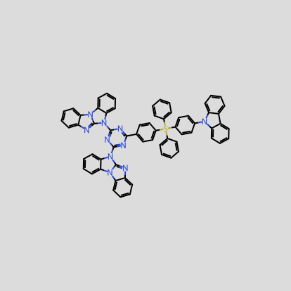 c1ccc(S(c2ccccc2)(c2ccc(-c3nc(-n4c5ccccc5n5c6ccccc6nc45)nc(-n4c5ccccc5n5c6ccccc6nc45)n3)cc2)c2ccc(-n3c4ccccc4c4ccccc43)cc2)cc1